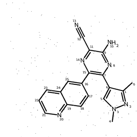 Cc1nn(C)cc1-c1nc(N)c(C#N)nc1-c1ccc2ncccc2c1